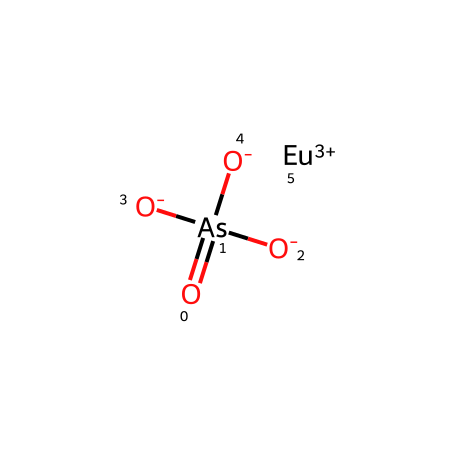 O=[As]([O-])([O-])[O-].[Eu+3]